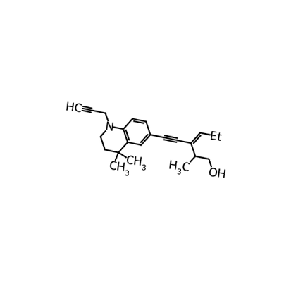 C#CCN1CCC(C)(C)c2cc(C#C/C(=C/CC)C(C)CO)ccc21